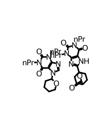 CCCn1c(=O)c2[nH]c(C34CCC(CC3)C(=O)O4)nc2n(CCC)c1=O.CCCn1c(=O)c2c(ncn2C2CCCCO2)n(CCC)c1=O